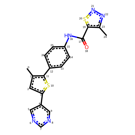 Cc1cc(-c2cncnc2)sc1-c1ccc(NC(=O)c2snnc2C)cc1